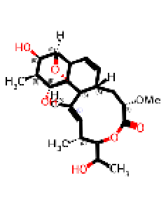 CO[C@H]1C[C@H]2C=CC3C4[C@H](O)[C@@H](C)[C@@H](O)[C@@H]3O[C@]42/C(C)=C/[C@@H](C)C(C(C)O)OC1=O